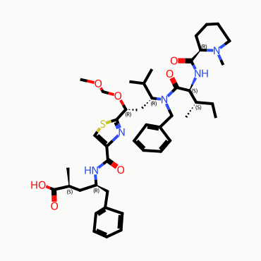 CC[C@H](C)[C@H](NC(=O)[C@H]1CCCCN1C)C(=O)N(Cc1ccccc1)[C@H](C[C@@H](OCOC)c1nc(C(=O)N[C@@H](Cc2ccccc2)C[C@H](C)C(=O)O)cs1)C(C)C